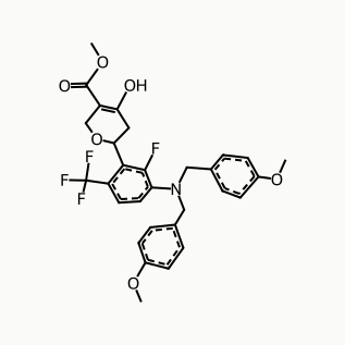 COC(=O)C1=C(O)CC(c2c(C(F)(F)F)ccc(N(Cc3ccc(OC)cc3)Cc3ccc(OC)cc3)c2F)OC1